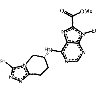 CCn1c(C(=O)OC)nc2c(N[C@@H]3CCc4nnc(C(C)C)n4C3)ncnc21